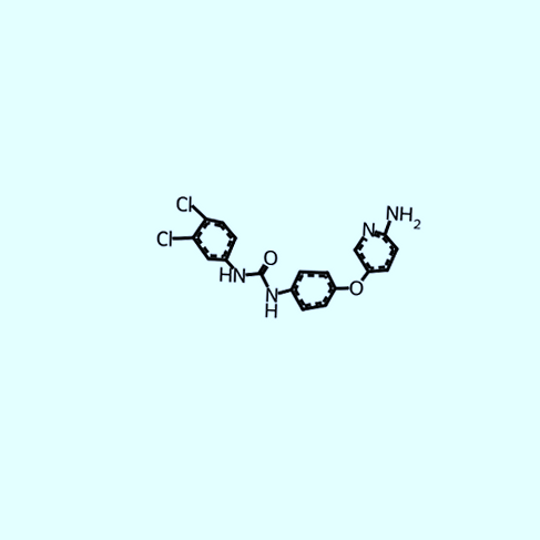 Nc1ccc(Oc2ccc(NC(=O)Nc3ccc(Cl)c(Cl)c3)cc2)cn1